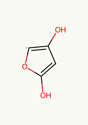 Oc1[c]oc(O)c1